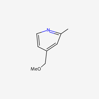 COCc1ccnc(C)c1